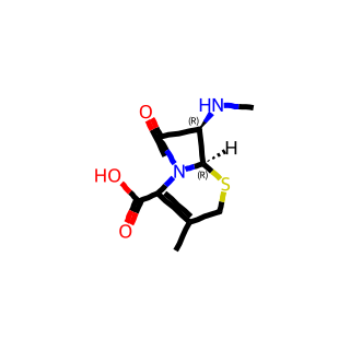 CN[C@@H]1C(=O)N2C(C(=O)O)=C(C)CS[C@H]12